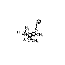 Cc1cc2c3c(c(NC(C)C)nc2cc1OCCCN1CCCC1)[C@@H](C)O[C@@H]3C